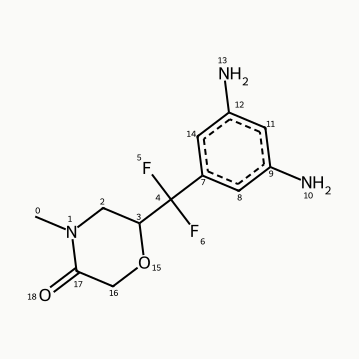 CN1CC(C(F)(F)c2cc(N)cc(N)c2)OCC1=O